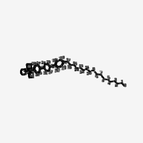 CCCCCCCCCCCCCCCCCCc1ccc(-c2ccc(-c3ccc([Si](Cl)(Cl)Cl)cc3)cc2)cc1